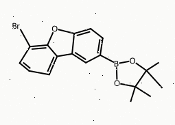 CC1(C)OB(c2ccc3oc4c(Br)cccc4c3c2)OC1(C)C